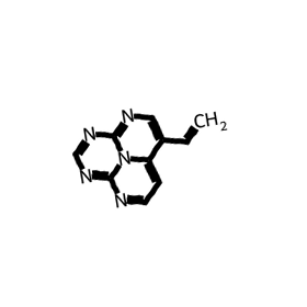 C=CC1=CN=C2N=CN=C3N=CC=C1N32